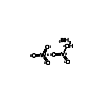 [BiH3].[O]=[V](=[O])[OH].[O]=[W](=[O])=[O]